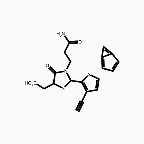 C#Cc1ccsc1C1SC(CC(=O)O)C(=O)N1CCC(N)=O.c1cc2cc-2c1